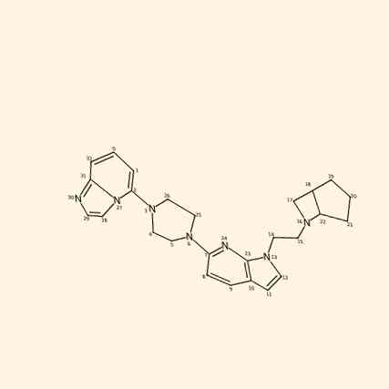 c1cc(N2CCN(c3ccc4ccn(CCN5CC6CCCC65)c4n3)CC2)n2ccnc2c1